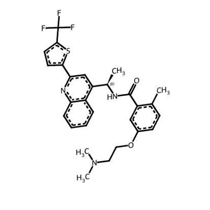 Cc1ccc(OCCN(C)C)cc1C(=O)N[C@H](C)c1cc(-c2ccc(C(F)(F)F)s2)nc2ccccc12